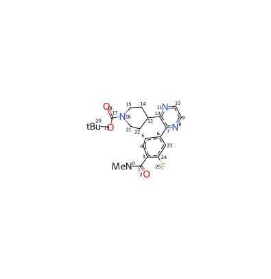 CNC(=O)c1ccc(-c2nccnc2C2CCN(C(=O)OC(C)(C)C)CC2)cc1F